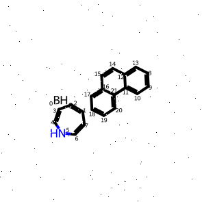 B.C1=CC=CNC=C1.c1ccc2c(c1)ccc1ccccc12